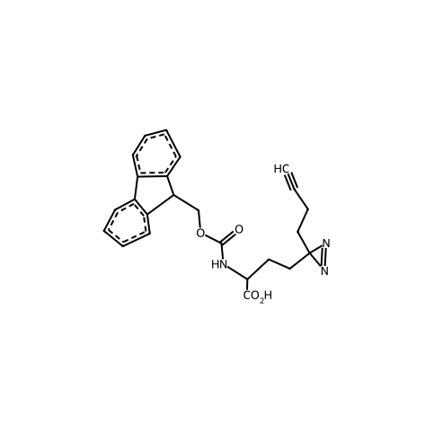 C#CCCC1(CCC(NC(=O)OCC2c3ccccc3-c3ccccc32)C(=O)O)N=N1